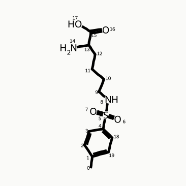 Cc1ccc(S(=O)(=O)NCCCCC(N)C(=O)O)cc1